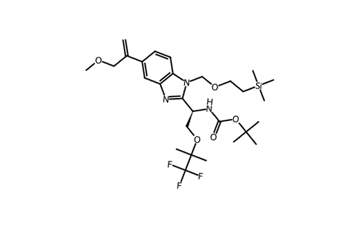 C=C(COC)c1ccc2c(c1)nc([C@H](COC(C)(C)C(F)(F)F)NC(=O)OC(C)(C)C)n2COCC[Si](C)(C)C